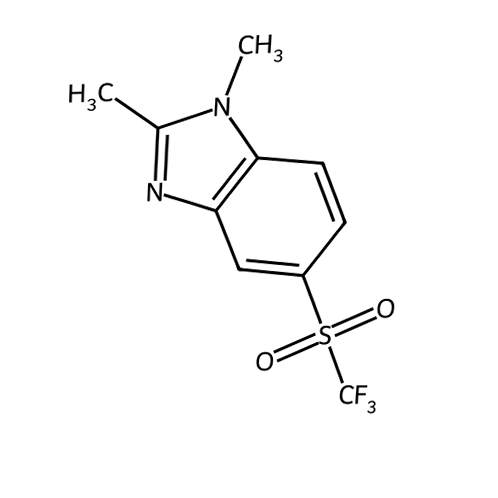 Cc1nc2cc(S(=O)(=O)C(F)(F)F)ccc2n1C